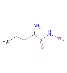 CCCC(N)C(=O)NP